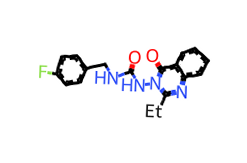 CCc1nc2ccccc2c(=O)n1NC(=O)NCc1ccc(F)cc1